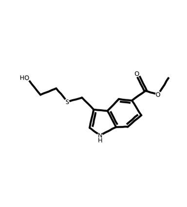 COC(=O)c1ccc2[nH]cc(CSCCO)c2c1